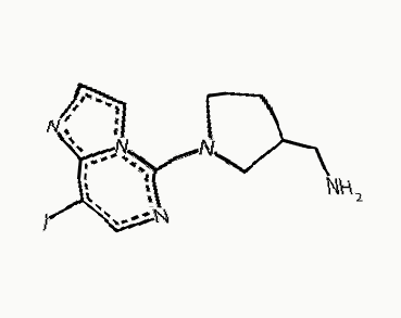 NCC1CCN(c2ncc(I)c3nccn23)C1